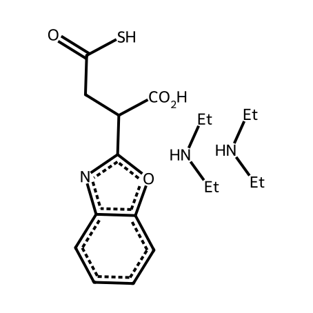 CCNCC.CCNCC.O=C(S)CC(C(=O)O)c1nc2ccccc2o1